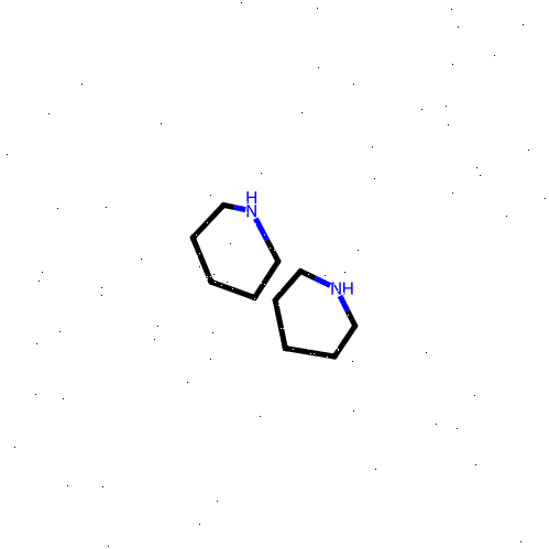 C1CCNCC1.C1CCNCC1